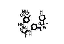 C/C(=C1/C=CC=C(Nc2nc(Nc3ccc(C)c(S(N)(=O)=O)c3)ncc2F)C1)S(=O)(=O)NC1CCNCC1